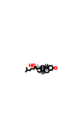 CC(C)CCC[C@@](C)(O)[C@H]1CC[C@H]2[C@@H]3CCC4=CC(=O)CC[C@]4(C)[C@H]3CC[C@@]21C